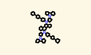 c1ccc(-c2ccc(-c3ccc(N(c4cccc(-n5c6ccccc6c6ccccc65)c4)c4cc5c6ccccc6c(N(c6ccc(-c7ccc(-c8ccccc8)cc7)cc6)c6cccc(-n7c8ccccc8c8ccccc87)c6)cc5c5ccccc45)cc3)cc2)cc1